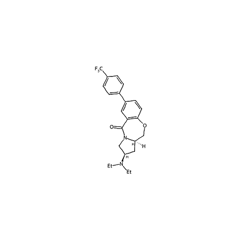 CCN(CC)[C@@H]1C[C@@H]2COc3ccc(-c4ccc(C(F)(F)F)cc4)cc3C(=O)N2C1